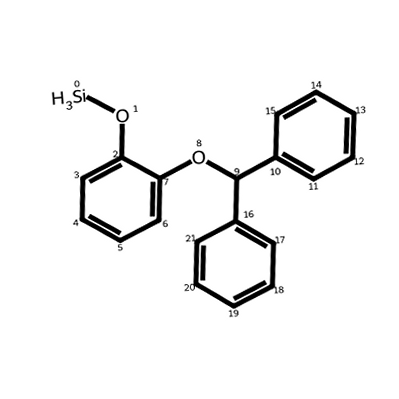 [SiH3]Oc1ccccc1OC(c1ccccc1)c1ccccc1